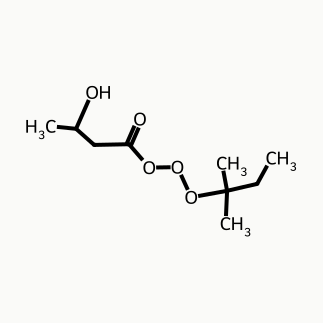 CCC(C)(C)OOOC(=O)CC(C)O